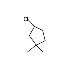 CC1(C)CCC(Cl)C1